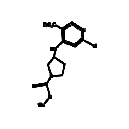 CCOC(=O)c1cnc(Cl)cc1NC1CCN(C(=O)OC(C)(C)C)C1